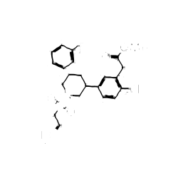 C=CCS(=O)(=O)N1CCCC(c2ccc(Cl)c(CC(=O)OC)c2)C1.Fc1ccccc1